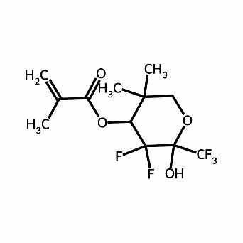 C=C(C)C(=O)OC1C(C)(C)COC(O)(C(F)(F)F)C1(F)F